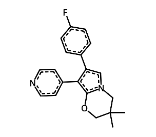 CC1(C)COc2c(-c3ccncc3)c(-c3ccc(F)cc3)cn2C1